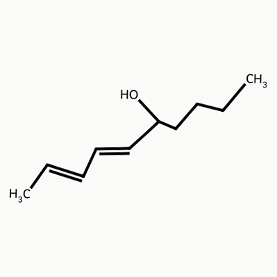 CC=CC=CC(O)CCCC